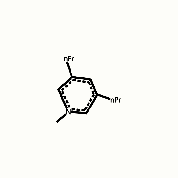 CCCc1cc(CCC)c[n+](C)c1